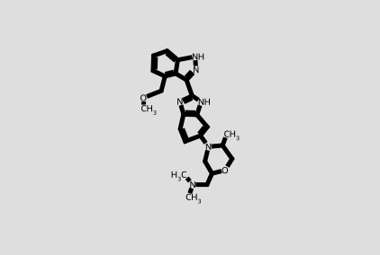 COCc1cccc2[nH]nc(-c3nc4ccc(N5CC(CN(C)C)OCC5C)cc4[nH]3)c12